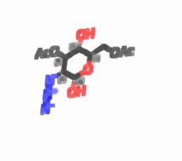 CC(=O)OC[C@H]1O[C@H](O)[C@H](N=[N+]=[N-])[C@@H](OC(C)=O)[C@@H]1O